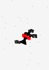 CCCC12COC(C3CC3C(C)(C)C)(OC1)OC2C#N